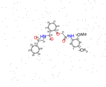 COc1cc(C)ccc1NC(=O)COc1ccccc1C(=O)NCC(=O)c1ccccc1